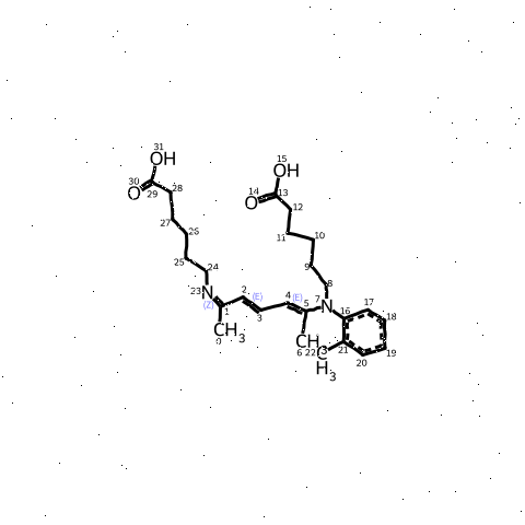 CC(/C=C/C=C(\C)N(CCCCCC(=O)O)c1ccccc1C)=N/CCCCCC(=O)O